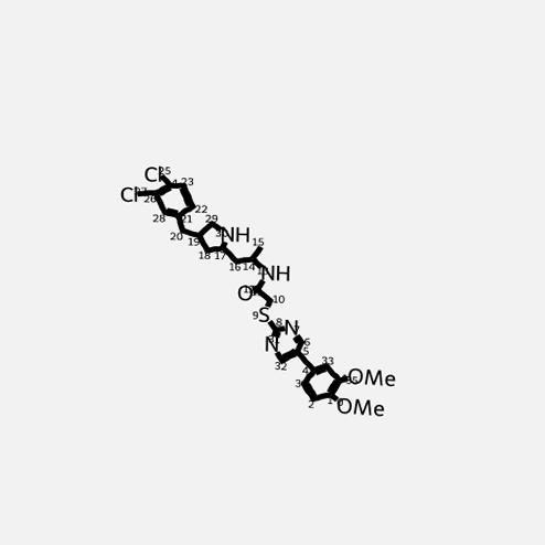 COc1ccc(-c2cnc(SCC(=O)NC(C)CC3CC(Cc4ccc(Cl)c(Cl)c4)CN3)nc2)cc1OC